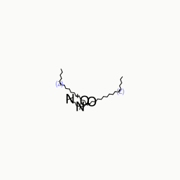 CCCC/C=C\CCCCCCCCOCC(C[N+](C)(C)CCC[N+](C)(C)C)OCCCCCCCC/C=C\CCCC